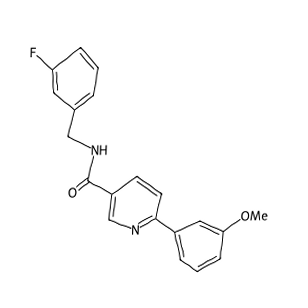 COc1cccc(-c2ccc(C(=O)NCc3cccc(F)c3)cn2)c1